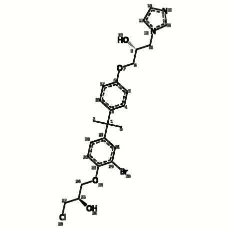 CC(C)(c1ccc(OC[C@H](O)Cn2ccnc2)cc1)c1ccc(OC[C@@H](O)CCl)c(Br)c1